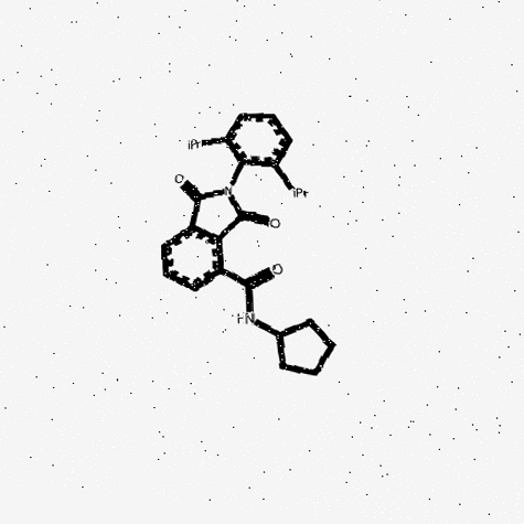 CC(C)c1cccc(C(C)C)c1N1C(=O)c2cccc(C(=O)NC3CCCC3)c2C1=O